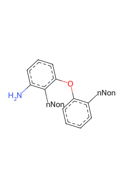 CCCCCCCCCc1ccccc1Oc1cccc(N)c1CCCCCCCCC